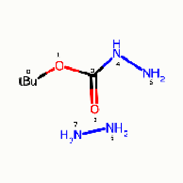 CC(C)(C)OC(=O)NN.NN